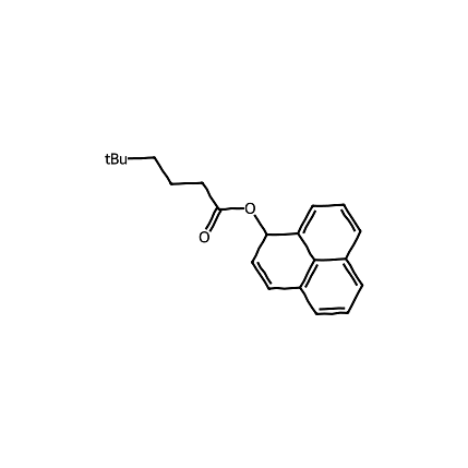 CC(C)(C)CCCC(=O)OC1C=Cc2cccc3cccc1c23